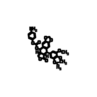 COc1cc([C@@H]2c3cc4c(cc3[C@H](OC(=O)Oc3ccc(N)cc3)[C@H]3COC(=O)[C@H]23)OCO4)cc(OC)c1OC